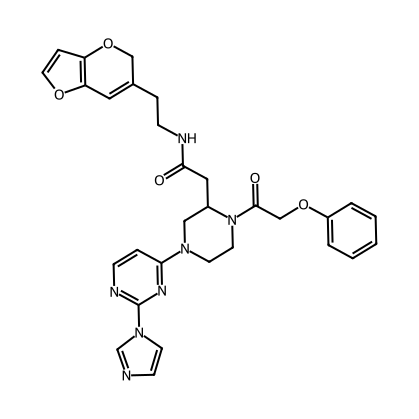 O=C(CC1CN(c2ccnc(-n3ccnc3)n2)CCN1C(=O)COc1ccccc1)NCCC1=Cc2occc2OC1